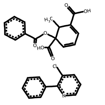 CC1C(C(=O)O)=CC=CC1(OC(=O)c1ccccc1)C(=O)O.Clc1cccnc1-c1ccccc1